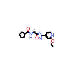 CCOc1cc(-c2noc([C@H](C)NC(=O)C3CCCC3)n2)ccn1